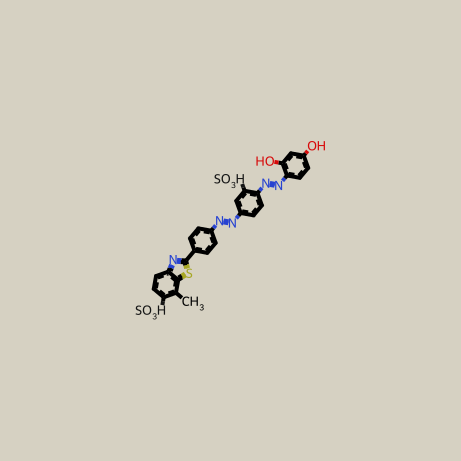 Cc1c(S(=O)(=O)O)ccc2nc(-c3ccc(N=Nc4ccc(N=Nc5ccc(O)cc5O)c(S(=O)(=O)O)c4)cc3)sc12